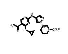 NC(=O)c1cnc(Nc2cnn([C@H]3CCCN(C(=O)O)C3)c2)nc1NC1CC1